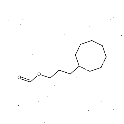 O=[C]OCCCC1CCCCCCC1